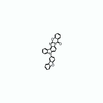 O=c1c2ccccc2oc2nc3c4c5ccccc5n(-c5ccc6oc7ccccc7c6c5)c4ccc3n12